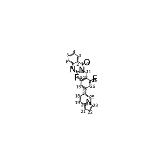 O=c1c2ccccc2ncn1Cc1c(F)cc(-c2ccc3cccn3c2)cc1F